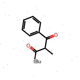 CC(C(=O)c1ccccc1)C(=O)C(C)(C)C